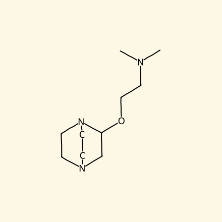 CN(C)CCOC1CN2CCN1CC2